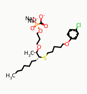 CCCCCCC[C@@H](SCCCCCOc1ccc(Cl)cc1)[C@H](C)OCCCOP(=O)([O-])C(=O)[O-].[Na+].[Na+]